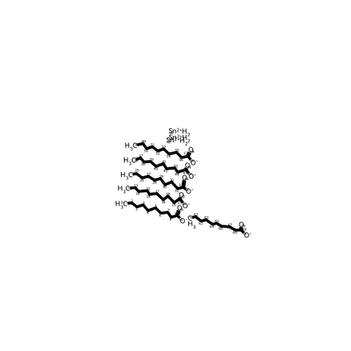 CCCCCCCCCC(=O)[O-].CCCCCCCCCC(=O)[O-].CCCCCCCCCC(=O)[O-].CCCCCCCCCC(=O)[O-].CCCCCCCCCC(=O)[O-].CCCCCCCCCC(=O)[O-].[SnH2+2].[SnH2+2].[SnH2+2]